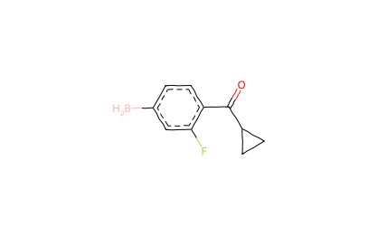 Bc1ccc(C(=O)C2CC2)c(F)c1